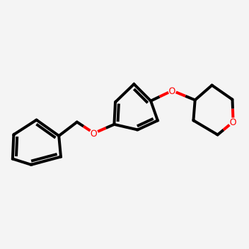 c1ccc(COc2ccc(OC3CCOCC3)cc2)cc1